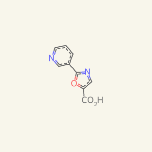 O=C(O)c1cnc(-c2cccnc2)o1